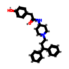 O=C(Cc1ccc(O)cc1)NC1CCN(CCC(c2ccccc2)c2ccccc2)CC1